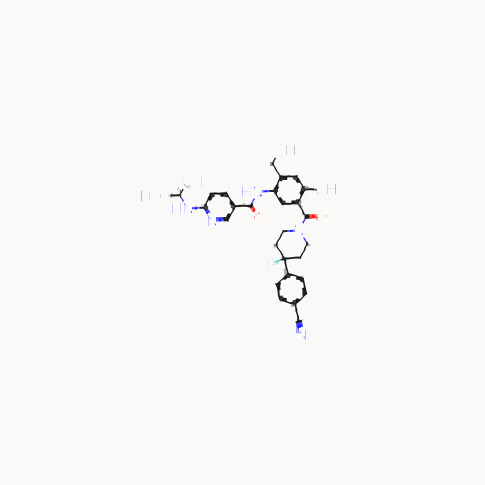 CCc1cc(C)c(C(=O)N2CCC(F)(c3ccc(C#N)cc3)CC2)cc1NC(=O)c1ccc(NC(C)C)nc1